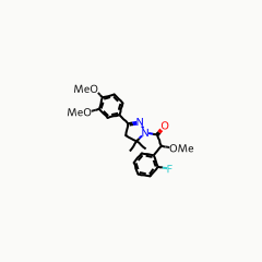 COc1ccc(C2=NN(C(=O)C(OC)c3ccccc3F)C(C)(C)C2)cc1OC